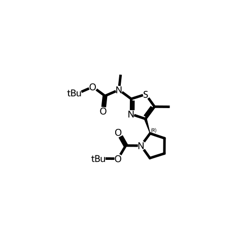 Cc1sc(N(C)C(=O)OC(C)(C)C)nc1[C@H]1CCCN1C(=O)OC(C)(C)C